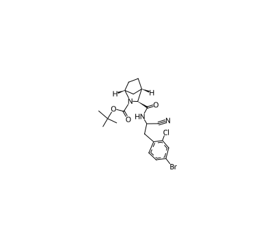 CC(C)(C)OC(=O)N1[C@@H]2CC[C@@H](C2)[C@H]1C(=O)NC(C#N)Cc1ccc(Br)cc1Cl